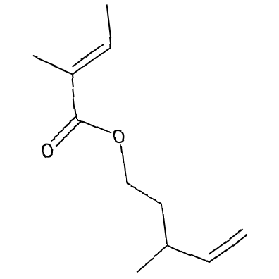 C=CC(C)CCOC(=O)C(C)=CC